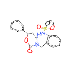 O=C1OC(c2ccccc2)CCN1Cc1ccccc1NS(=O)(=O)C(F)(F)F